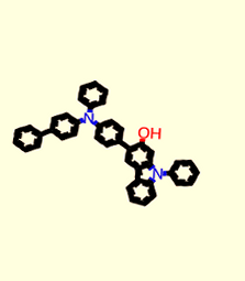 Oc1cc2c(cc1-c1ccc(N(c3ccccc3)c3ccc(-c4ccccc4)cc3)cc1)c1ccccc1n2-c1ccccc1